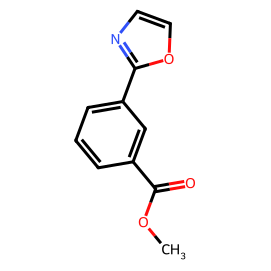 COC(=O)c1cccc(-c2ncco2)c1